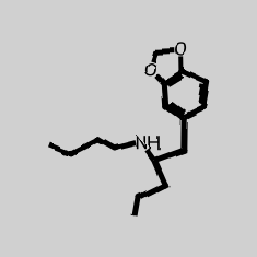 CCCCNC(CCC)Cc1ccc2c(c1)OCO2